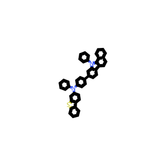 c1ccc(N(c2ccc(-c3ccc4c5ccc6ccccc6c5n(-c5ccccc5)c4c3)cc2)c2ccc3c(c2)sc2ccccc23)cc1